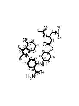 CC(=O)OC(CC(=O)O[C@H]1CC[C@H](Nc2cc(-n3c(C)c(C)c4c3CCCC4=O)ccc2C(N)=O)CC1)CN(C)C